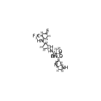 O=C(N[C@@]1(C(=O)NCc2ccc(Nc3ccc(F)cc3C(F)(F)F)cc2)CCOC1)c1cnc2cc[nH]c2c1